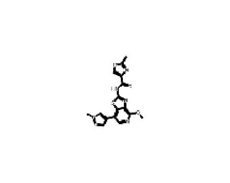 COc1ncc(-c2cnn(C)c2)c2sc(NC(=O)c3coc(C)n3)nc12